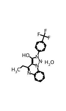 CCC1=Nc2ccccc2N2[N]N(c3ccc(C(F)(F)F)cc3)C(O)=C12.O